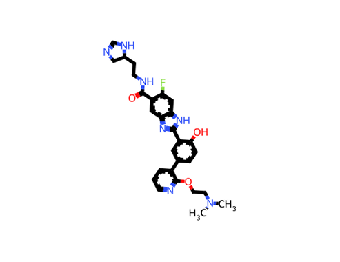 CN(C)CCOc1ncccc1-c1ccc(O)c(-c2nc3cc(C(=O)NCCC4CN=CN4)c(F)cc3[nH]2)c1